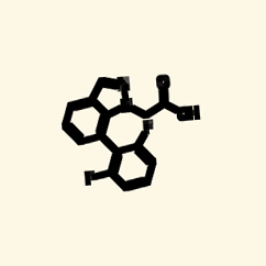 O=C(O)Cn1ncc2cccc(-c3c(F)cccc3F)c21